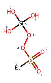 CCS(=O)(=O)OO[Si](O)(O)O